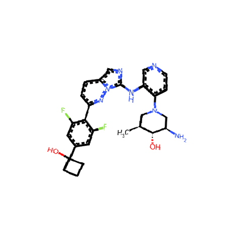 C[C@H]1CN(c2ccncc2Nc2ncc3ccc(-c4c(F)cc(C5(O)CCC5)cc4F)nn23)C[C@@H](N)[C@@H]1O